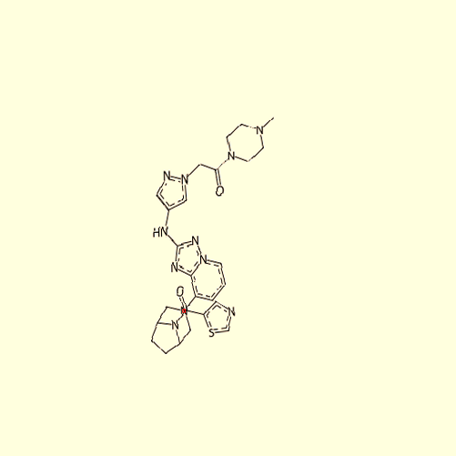 CN1CCN(C(=O)Cn2cc(Nc3nc4c(N5CC6CCC(C5)N6C(=O)c5cncs5)cccn4n3)cn2)CC1